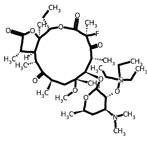 CC[C@@H]1OC(=O)[C@@](C)(F)C(=O)[C@H](C)[C@@H](OC2O[C@H](C)C[C@H](N(C)C)[C@H]2O[Si](CC)(CC)CC)[C@](C)(OC)C[C@@H](C)C(=O)[C@H](C)[C@H]2[C@H](C)C(=O)O[C@]21C